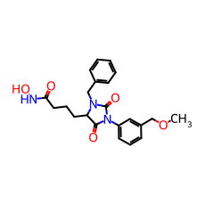 COCc1cccc(N2C(=O)C(CCCC(=O)NO)N(Cc3ccccc3)C2=O)c1